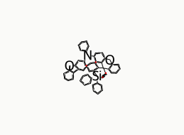 c1ccc(N(c2ccc3c(c2)C2(c4ccccc4O3)c3ccccc3[Si](c3ccccc3)(c3ccccc3)c3ccccc32)c2ccc3c(c2)oc2ccccc23)cc1